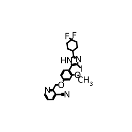 COc1cc(OCc2ncccc2C#N)ccc1-c1[nH]c(C2CCC(F)(F)CC2)nc1I